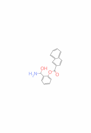 NC(O)c1ccccc1OC(=O)c1ccc2ccccc2c1